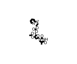 CC(=O)O[C@H]1C[C@H](n2cc(C)c(=O)[nH]c2=O)O[C@@H]1COC(=O)OCCN(C)c1ccccn1